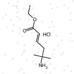 CCOC(=O)/C=C/CC(C)(C)N.Cl